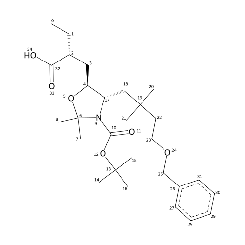 CC[C@H](C[C@@H]1OC(C)(C)N(C(=O)OC(C)(C)C)[C@H]1CC(C)(C)CCOCc1ccccc1)C(=O)O